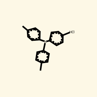 Cc1ccc(N(c2ccc(C)cc2)c2ccc(C)cc2)cc1.Cl